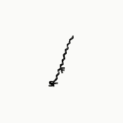 CCCCCCCCCCCCCC(F)CCCCC[Si](C)(C)C